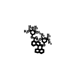 CC1(C)CC(OC(=O)c2cccc3c(-c4cccc5cccc(C(=O)OC6CC(C)(C)NC(C)(C)C6)c45)cccc23)CC(C)(C)N1